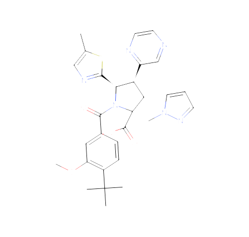 COc1cc(C(=O)N2[C@@H](c3ncc(C)s3)[C@@H](c3cnccn3)C[C@@]2(Cn2cccn2)C(=O)O)ccc1C(C)(C)C